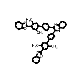 Cc1cc(-c2nc3ccccc3o2)c(C)cc1-c1ccc(-c2nc3ccccc3nc2-c2ccc(-c3cc(C)c(-c4nc5ccccc5o4)cc3C)cc2)cc1